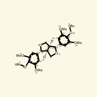 CCCCOc1c(OC)cc([C@@H]2OC[C@@H]3[C@H]2CO[C@H]3c2cc(OC)c(OCCCC)c(OC)c2)cc1OC